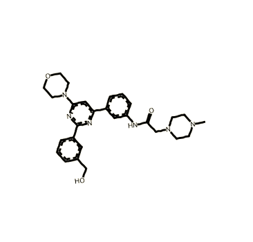 CN1CCN(CC(=O)Nc2cccc(-c3cc(N4CCOCC4)nc(-c4cccc(CO)c4)n3)c2)CC1